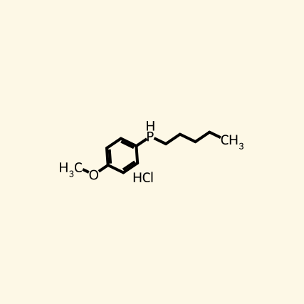 CCCCCPc1ccc(OC)cc1.Cl